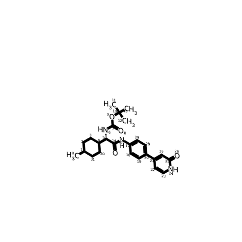 CC1CCC([C@H](NC(=O)OC(C)(C)C)C(=O)Nc2ccc(-c3cc[nH]c(=O)c3)cc2)CC1